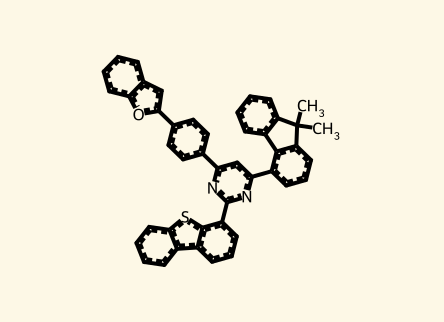 CC1(C)c2ccccc2-c2c(-c3cc(-c4ccc(-c5cc6ccccc6o5)cc4)nc(-c4cccc5c4sc4ccccc45)n3)cccc21